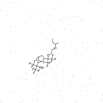 CCC(C)OCCOC(C1CC2CC1C(C(O)(C(F)(F)F)C(F)(F)F)C2)(C(F)(F)F)C(F)(F)F